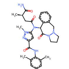 Cc1cccc(C)c1NC(=O)c1cc(N(C(=O)C[C@@H](C)C(N)=O)[C@@H]2C(=O)N3CCCN3Cc3ccccc32)n(C)n1